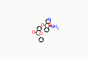 NC(=O)c1ccccc1[C@@H](Oc1ccc2c(c1)O[C@H](c1ccccc1)CC2=O)c1ccncc1